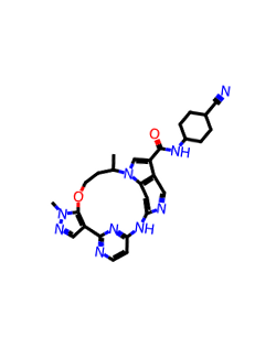 CC1CCOc2c(cnn2C)-c2nccc(n2)Nc2cc3c(cn2)c(C(=O)NC2CCC(C#N)CC2)cn31